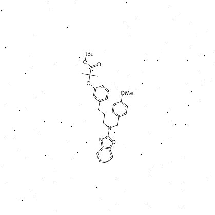 COc1ccc(CN(CCCc2cccc(OC(C)(C)C(=O)OC(C)(C)C)c2)c2nc3ccccc3o2)cc1